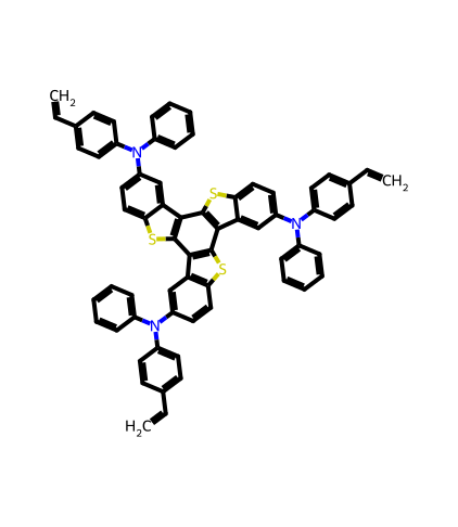 C=Cc1ccc(N(c2ccccc2)c2ccc3sc4c(c3c2)c2sc3ccc(N(c5ccccc5)c5ccc(C=C)cc5)cc3c2c2sc3ccc(N(c5ccccc5)c5ccc(C=C)cc5)cc3c42)cc1